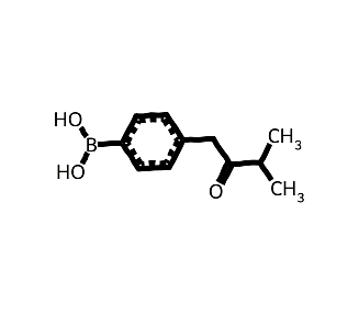 CC(C)C(=O)Cc1ccc(B(O)O)cc1